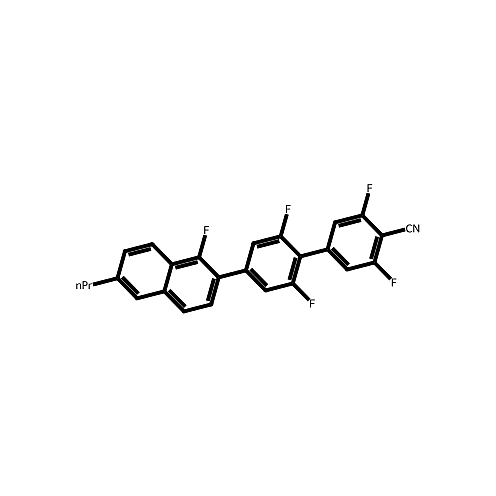 CCCc1ccc2c(F)c(-c3cc(F)c(-c4cc(F)c(C#N)c(F)c4)c(F)c3)ccc2c1